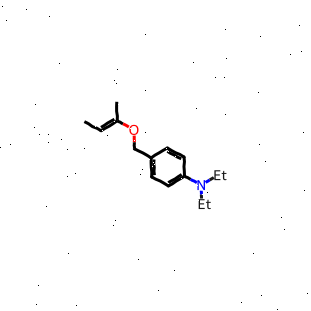 CC=C(C)OCc1ccc(N(CC)CC)cc1